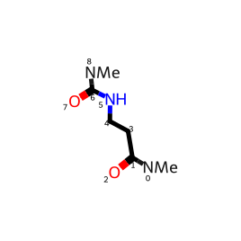 CNC(=O)CCNC(=O)NC